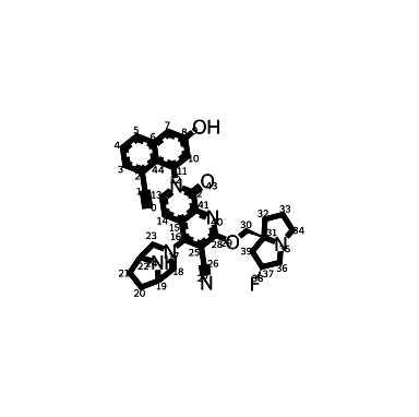 C#Cc1cccc2cc(O)cc(-n3ccc4c(N5CC6CCC(C5)N6)c(C#N)c(OC[C@@]56CCCN5C[C@H](F)C6)nc4c3=O)c12